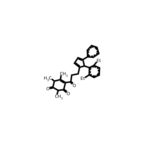 CCc1cccc(CC)c1C1C(CCC(=O)C2=C(C)C(C)C(=O)C(C)C2=O)=CC=C1c1ccccc1